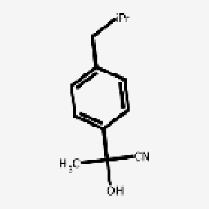 CC(C)Cc1ccc(C(C)(O)C#N)cc1